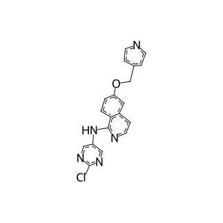 Clc1ncc(Nc2nccc3cc(OCc4ccncc4)ccc23)cn1